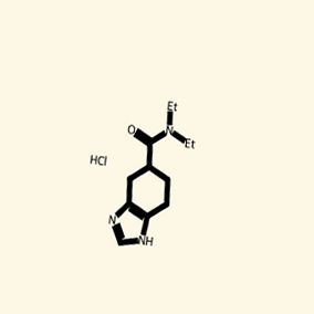 CCN(CC)C(=O)C1CCc2[nH]cnc2C1.Cl